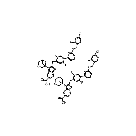 O=C(O)c1ccc2nc(Cc3cc(F)c(-c4cccc(OCc5ccc(Cl)cc5F)n4)cc3F)n(C34COCC(C3)C4)c2c1.O=C(O)c1ccc2nc(Cc3cc(F)c(-c4cccc(OCc5ccc(Cl)cc5F)n4)cc3F)n(C34COCC(C3)C4)c2c1